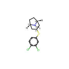 CN1[C@@H]2CC[C@H]1C[C@H](Sc1ccc(Cl)c(Cl)c1)C2